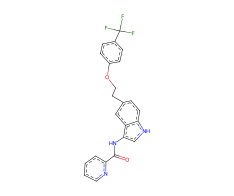 O=C(Nc1c[nH]c2ccc(CCOc3ccc(C(F)(F)F)cc3)cc12)c1ccccn1